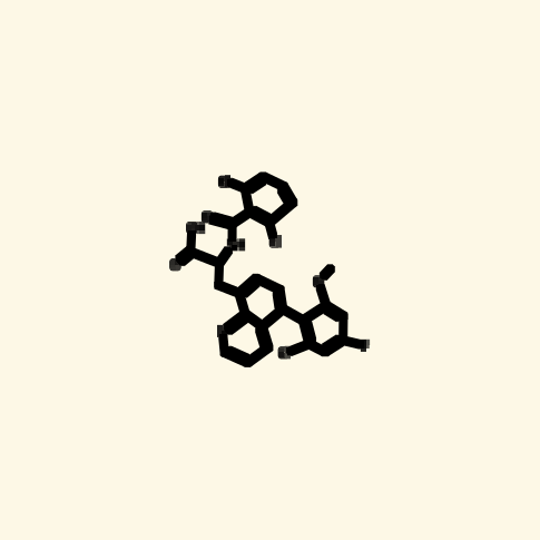 COc1cc(F)cc(Cl)c1-c1ccc(CC(NC(=O)c2c(Cl)cccc2Cl)C(=O)O)c2ncccc12